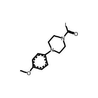 COc1ccc(N2CCN(C(=O)I)CC2)cc1